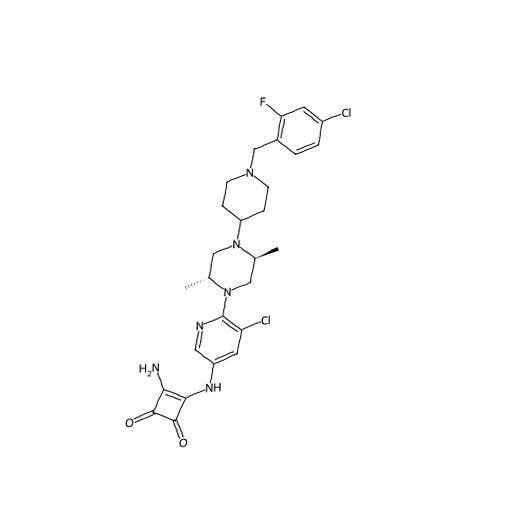 C[C@@H]1CN(C2CCN(Cc3ccc(Cl)cc3F)CC2)[C@@H](C)CN1c1ncc(Nc2c(N)c(=O)c2=O)cc1Cl